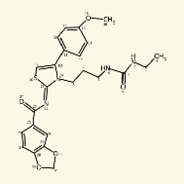 CCNC(=O)NCCCn1c(-c2ccc(OC)cc2)cs/c1=N\C(=O)c1ccc2c(c1)OCO2